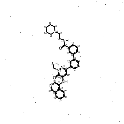 CCn1nc(-c2cccc(-c3cccc(C(=O)NCCN4CCCCC4)c3)c2)cc(Nc2cncc3ccccc23)c1=O